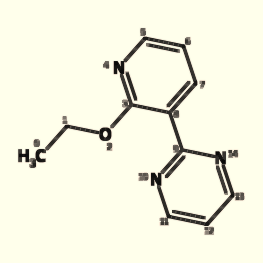 CCOc1ncccc1-c1ncccn1